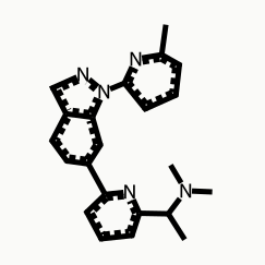 Cc1cccc(-n2ncc3ccc(-c4cccc(C(C)N(C)C)n4)cc32)n1